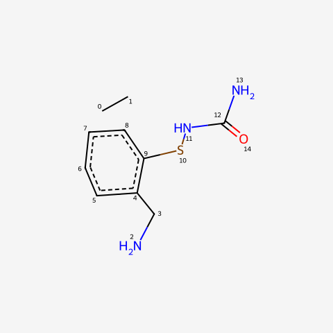 CC.NCc1ccccc1SNC(N)=O